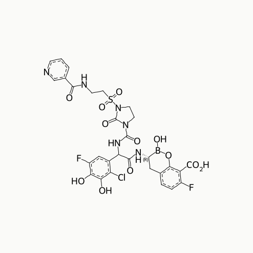 O=C(NCCS(=O)(=O)N1CCN(C(=O)NC(C(=O)N[C@H]2Cc3ccc(F)c(C(=O)O)c3OB2O)c2cc(F)c(O)c(O)c2Cl)C1=O)c1cccnc1